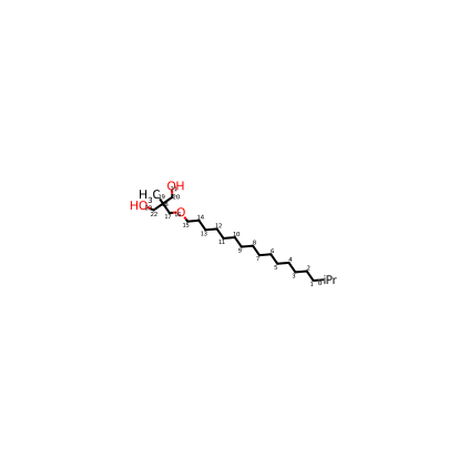 CC(C)CCCCCCCCCCCCCCCOCC(C)(CO)CO